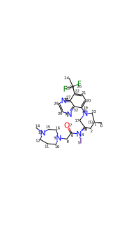 C[C@H]1C[C@@H](N(I)C(=O)CN2CCCN(C)CC2)CN(c2ccc(C(C)(F)F)c3nccnc23)C1